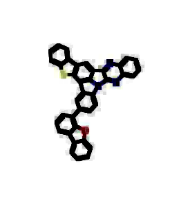 c1ccc2nc3c(nc2c1)c1cc2c4ccccc4sc2c2c4cc(-c5cccc6c5oc5ccccc56)ccc4n3c12